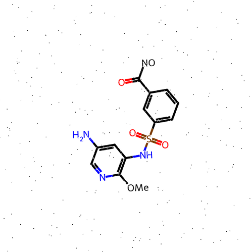 COc1ncc(N)cc1NS(=O)(=O)c1cccc(C(=O)N=O)c1